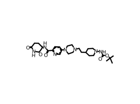 CC(C)(C)OC(=O)NN1CCC(CCN2CCN(c3ccc(C(=O)N[C@H]4CCC(=O)NC4=O)nc3)CC2)CC1